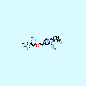 CC(C)(C)CCOCCN1CCN(CC(C)(C)C)CC1